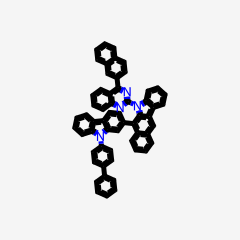 c1ccc(-c2ccc(-n3c4ccccc4c4ccc(-c5c6ccccc6cc6c7ccccc7n(-c7nc(-c8ccc9ccccc9c8)c8ccccc8n7)c56)cc43)cc2)cc1